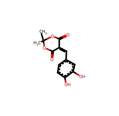 CC1(C)OC(=O)C(=Cc2ccc(O)c(O)c2)C(=O)O1